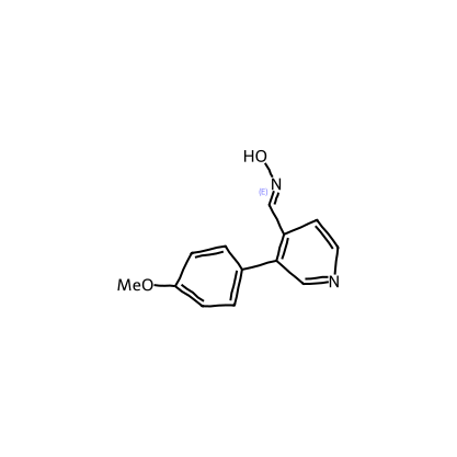 COc1ccc(-c2cnccc2/C=N/O)cc1